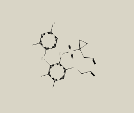 C=CCOc1cc(F)c(F)c(Nc2ccc(Br)cc2F)c1NS(=O)(=O)C1(CC=C)CC1